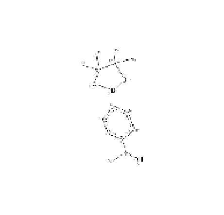 CC(O)c1ccc(B2OC(C)(C)C(C)(C)O2)cc1